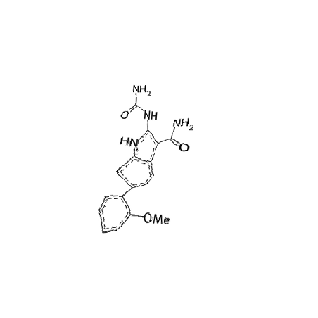 COc1ccccc1-c1ccc2c(C(N)=O)c(NC(N)=O)[nH]c2c1